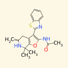 C=C1Cc2c(oc(NC(C)=O)c2-c2nc3ccccc3s2)C(C)(C)N1